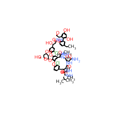 CCc1ccc(O)c(-c2c(O)cc(O)cc2[C@@H](C=O)NC(=O)C[C@H](O)c2ccc(Oc3cc4cc(c3O[C@H]3C[C@@H](O)C[C@@H](CO)O3)Oc3ccc(cc3Cl)[C@@H](O)[C@@H](NC(=O)[C@@H](CC(C)C)NC)C(=O)N[C@@H](CC(N)=O)C(=O)N[C@H]4C(=O)NC)c(Cl)c2)c1